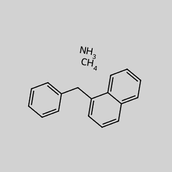 C.N.c1ccc(Cc2cccc3ccccc23)cc1